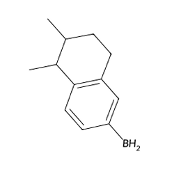 Bc1ccc2c(c1)CCC(C)C2C